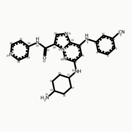 N#Cc1cccc(Nc2cc(NC3CCC(N)CC3)nn3c(C(=O)Nc4ccncc4)cnc23)c1